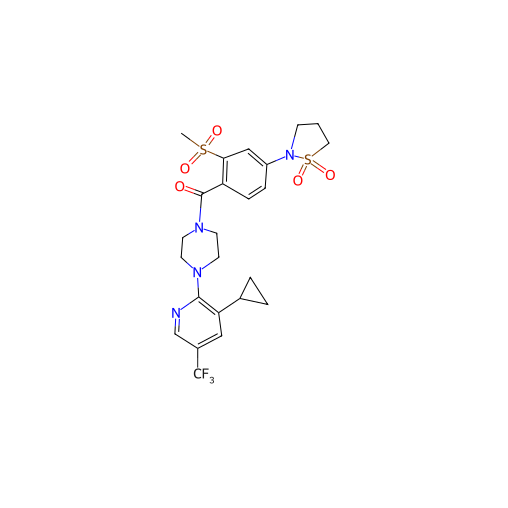 CS(=O)(=O)c1cc(N2CCCS2(=O)=O)ccc1C(=O)N1CCN(c2ncc(C(F)(F)F)cc2C2CC2)CC1